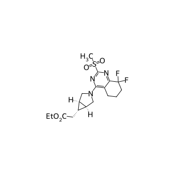 CCOC(=O)C[C@@H]1[C@H]2CN(c3nc(S(C)(=O)=O)nc4c3CCCC4(F)F)C[C@@H]12